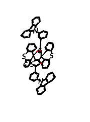 c1cc(-c2cc3c(s2)C2(c4ccccc4Sc4ccccc42)c2cc(-c4cccc(-n5c6ccccc6c6ccccc65)c4)sc2C32c3ccccc3Sc3ccccc32)cc(-n2c3ccccc3c3ccccc32)c1